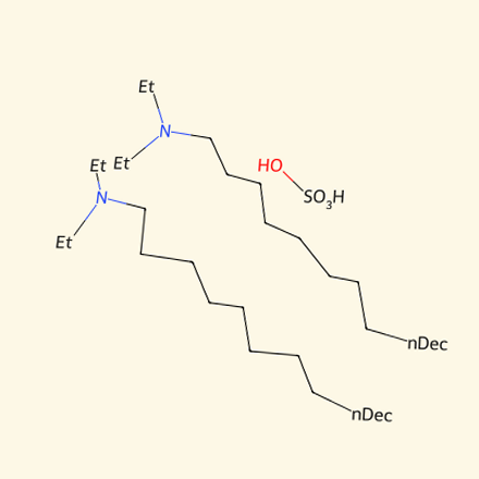 CCCCCCCCCCCCCCCCCCN(CC)CC.CCCCCCCCCCCCCCCCCCN(CC)CC.O=S(=O)(O)O